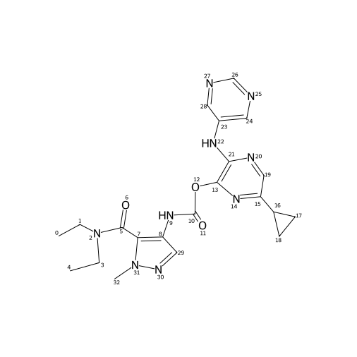 CCN(CC)C(=O)c1c(NC(=O)Oc2nc(C3CC3)cnc2Nc2cncnc2)cnn1C